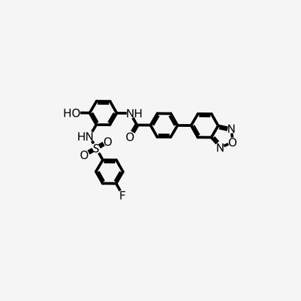 O=C(Nc1ccc(O)c(NS(=O)(=O)c2ccc(F)cc2)c1)c1ccc(-c2ccc3nonc3c2)cc1